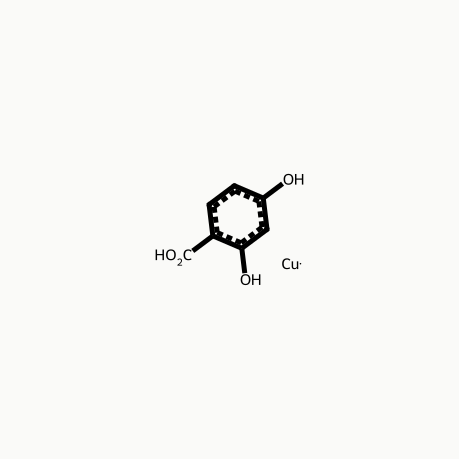 O=C(O)c1ccc(O)cc1O.[Cu]